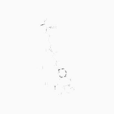 CC(=O)O[C@@H]1[C@@H](O)CN[C@@H]1Cc1ccc(OCCCNCCCC[C@H](N)C(=O)O)cc1.Cl